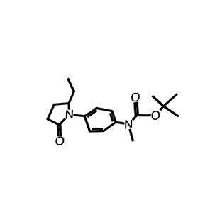 CCC1CCC(=O)N1c1ccc(N(C)C(=O)OC(C)(C)C)cc1